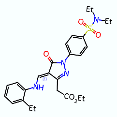 CCOC(=O)CC1=NN(c2ccc(S(=O)(=O)N(CC)CC)cc2)C(=O)/C1=C/Nc1ccccc1CC